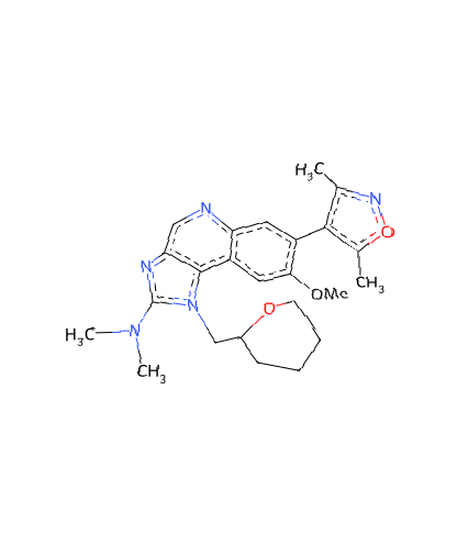 COc1cc2c(cc1-c1c(C)noc1C)ncc1nc(N(C)C)n(CC3CCCCO3)c12